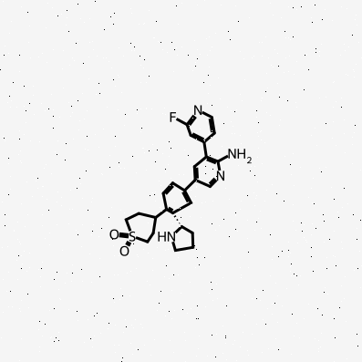 Nc1ncc(-c2ccc(C3CCS(=O)(=O)CC3)c([C@@H]3CCCN3)c2)cc1-c1ccnc(F)c1